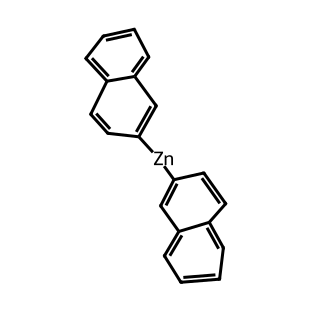 c1ccc2c[c]([Zn][c]3ccc4ccccc4c3)ccc2c1